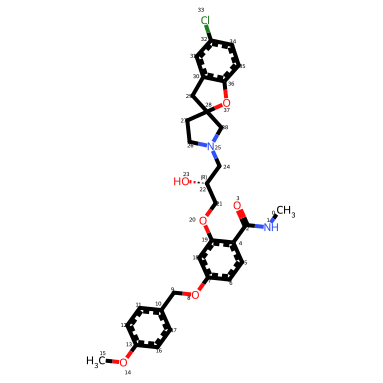 CNC(=O)c1ccc(OCc2ccc(OC)cc2)cc1OC[C@H](O)CN1CCC2(Cc3cc(Cl)ccc3O2)C1